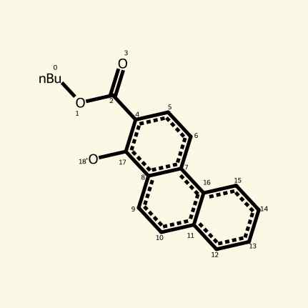 CCCCOC(=O)c1ccc2c(ccc3ccccc32)c1[O]